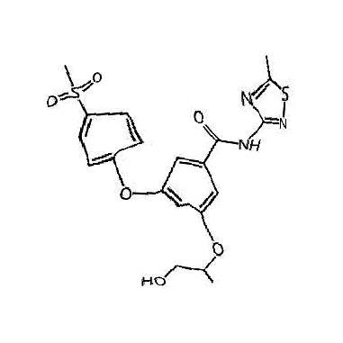 Cc1nc(NC(=O)c2cc(Oc3ccc(S(C)(=O)=O)cc3)cc(OC(C)CO)c2)ns1